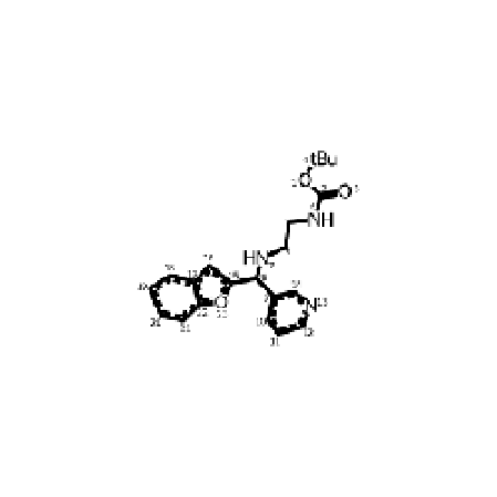 CC(C)(C)OC(=O)NCCNC(c1cccnc1)c1cc2ccccc2o1